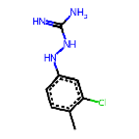 Cc1ccc(NNC(=N)N)cc1Cl